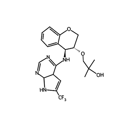 CC(C)(O)CO[C@H]1COc2ccccc2[C@@H]1NC1=NC=NC2NC(C(F)(F)F)=CC12